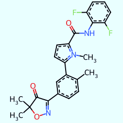 Cc1ccc(C2=NOC(C)(C)C2=O)cc1-c1ccc(C(=O)Nc2c(F)cccc2F)n1C